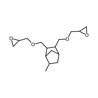 CC1CC2CC1C(COCC1CO1)C2COCC1CO1